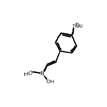 CCCCc1ccc(/C=C/B(O)O)cc1